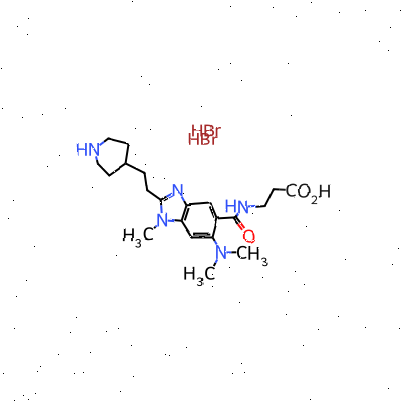 Br.Br.CN(C)c1cc2c(cc1C(=O)NCCC(=O)O)nc(CCC1CCNCC1)n2C